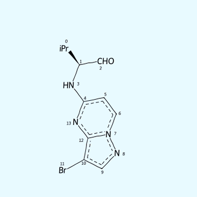 CC(C)[C@@H](C=O)Nc1ccn2ncc(Br)c2n1